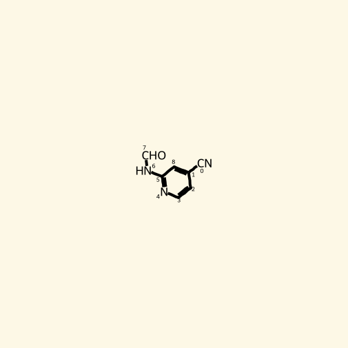 N#Cc1ccnc(NC=O)c1